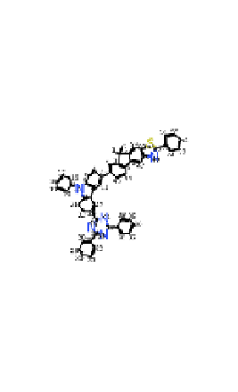 CC1(C)c2cc(-c3ccc4c(c3)c3c(n4-c4ccccc4)CCC(c4nc(-c5ccccc5)nc(-c5ccccc5)n4)=C3)ccc2-c2cc3nc(-c4ccccc4)sc3cc21